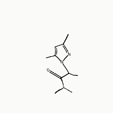 Cc1cc(C)n(C(C)C(=O)N(C)C)n1